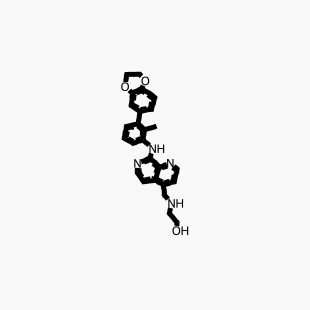 Cc1c(Nc2nccc3c(CNCCO)ccnc23)cccc1-c1ccc2c(c1)OCCO2